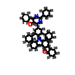 C1=Cc2oc3c(-c4cc(-c5ccccc5)c(-n5c6ccccc6c6c7oc8ccccc8c7ccc65)c(-c5ccccc5)c4)nc(-c4ccccc4)nc3c2CC1